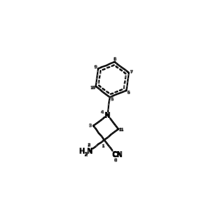 N#CC1(N)CN(c2ccccc2)C1